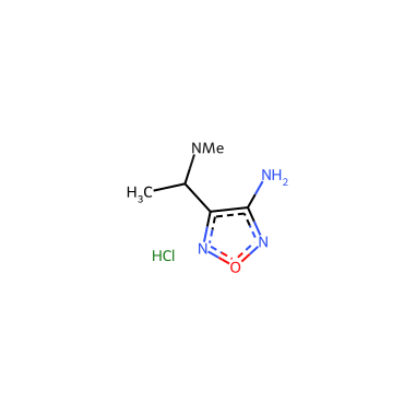 CNC(C)c1nonc1N.Cl